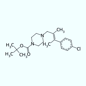 CC(CN1CCN(C(=O)OC(C)(C)C)CC1)=C(C)c1ccc(Cl)cc1